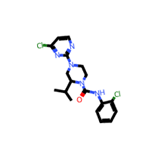 CC(C)C1CN(c2nccc(Cl)n2)CCN1C(=O)Nc1ccccc1Cl